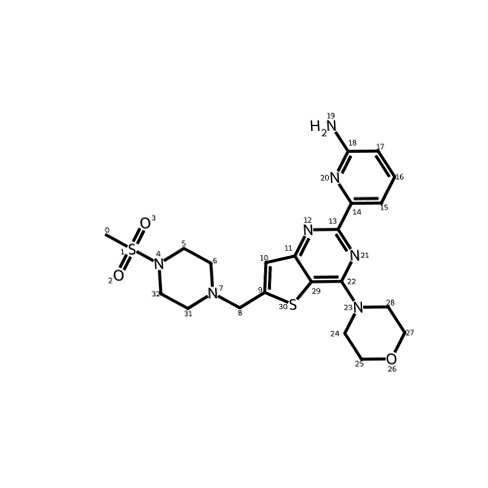 CS(=O)(=O)N1CCN(Cc2cc3nc(-c4cccc(N)n4)nc(N4CCOCC4)c3s2)CC1